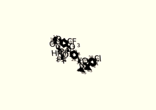 CC(C)N(C(=O)c1cc2c(cc1C(F)(F)F)OC(C)(C)C(=O)N2CCNC(=O)C(F)F)[C@H]1CC[C@@H](CCN(C(=O)C2(c3ccc(Cl)cc3)CC2)C2CC2)CC1